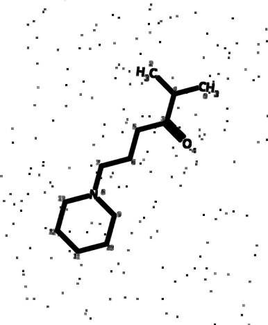 CC(C)C(=O)CCCN1CCCCC1